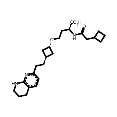 O=C(CC1CCC1)N[C@@H](CCO[C@H]1C[C@H](CCc2ccc3c(n2)NCCC3)C1)C(=O)O